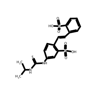 CC(C)NC(=S)Nc1ccc(C=Cc2ccccc2S(=O)(=O)O)c(S(=O)(=O)O)c1